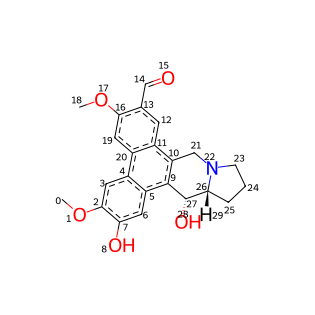 COc1cc2c(cc1O)c1c(c3cc(C=O)c(OC)cc32)CN2CCC[C@@H]2[C@@H]1O